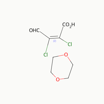 C1COCCO1.O=C/C(Cl)=C(/Cl)C(=O)O